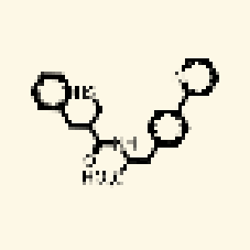 O=C(N[C@@H](Cc1ccc(-c2ccccn2)cc1)C(=O)O)C(CS)Cc1ccccc1